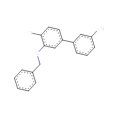 N#Cc1cccc(-c2ccc([N+](=O)[O-])c(NCc3ccccc3)c2)c1